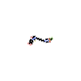 CC1(C)C(=O)N(c2ccc3c(c2)COC3=O)C(=S)N1CCCCCCCCN1CCN(S(=O)(=O)CC(F)(F)F)CC1